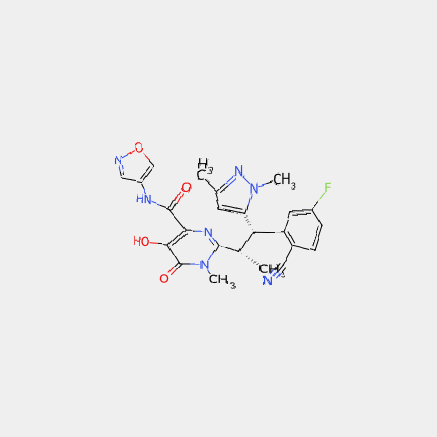 Cc1cc([C@H](c2cc(F)ccc2C#N)[C@H](C)c2nc(C(=O)Nc3cnoc3)c(O)c(=O)n2C)n(C)n1